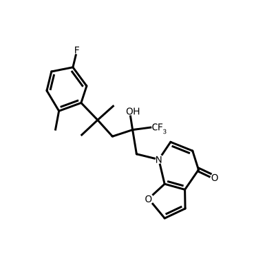 Cc1ccc(F)cc1C(C)(C)CC(O)(Cn1ccc(=O)c2ccoc21)C(F)(F)F